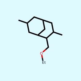 CCOCC1C(C)CC2CC(C)CC1C2